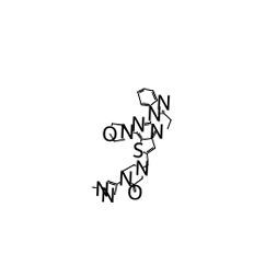 CCc1nc2ccccc2n1-c1nc(N2CCOCC2)c2sc(CN3CCN(c4cnn(C)c4)C(=O)C3)cc2n1